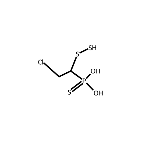 OP(O)(=S)C(CCl)SS